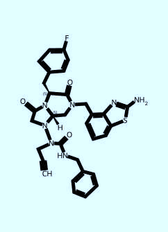 C#CCN(C(=O)NCc1ccccc1)N1CC(=O)N2[C@@H](Cc3ccc(F)cc3)C(=O)N(Cc3cccc4sc(N)nc34)C[C@@H]21